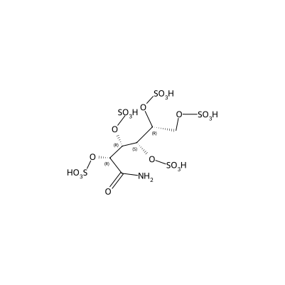 NC(=O)[C@H](OS(=O)(=O)O)[C@H](OS(=O)(=O)O)[C@@H](OS(=O)(=O)O)[C@@H](COS(=O)(=O)O)OS(=O)(=O)O